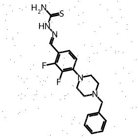 NC(=S)N/N=C/c1ccc(N2CCN(Cc3ccccc3)CC2)c(F)c1F